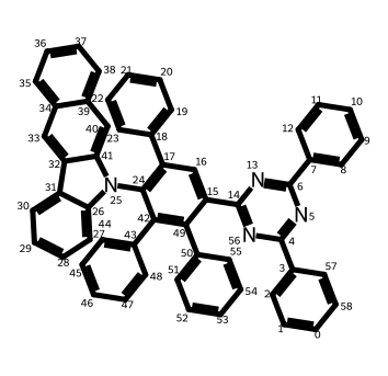 c1ccc(-c2nc(-c3ccccc3)nc(-c3cc(-c4ccccc4)c(-n4c5ccccc5c5cc6ccccc6cc54)c(-c4ccccc4)c3-c3ccccc3)n2)cc1